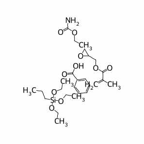 C=C(C)C(=O)OCC1CO1.CCC[Si](OCC)(OCC)OCC.CCOC(N)=O.O=C(O)c1ccccc1